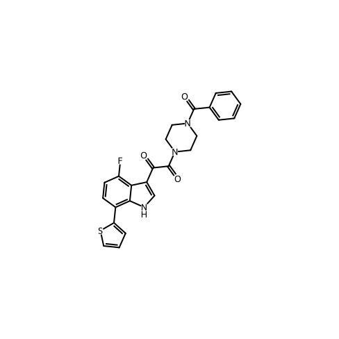 O=C(C(=O)N1CCN(C(=O)c2ccccc2)CC1)c1c[nH]c2c(-c3cccs3)ccc(F)c12